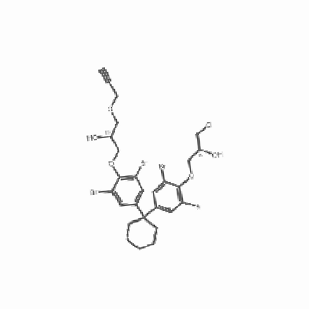 C#CCOC[C@H](O)COc1c(Br)cc(C2(c3cc(Br)c(OC[C@H](O)CCl)c(Br)c3)CCCCC2)cc1Br